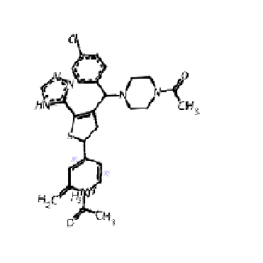 C=C(/C=C(\C=C/N)C1CC(C(c2ccc(Cl)cc2)N2CCN(C(C)=O)CC2)=C(c2nnc[nH]2)S1)NC(C)=O